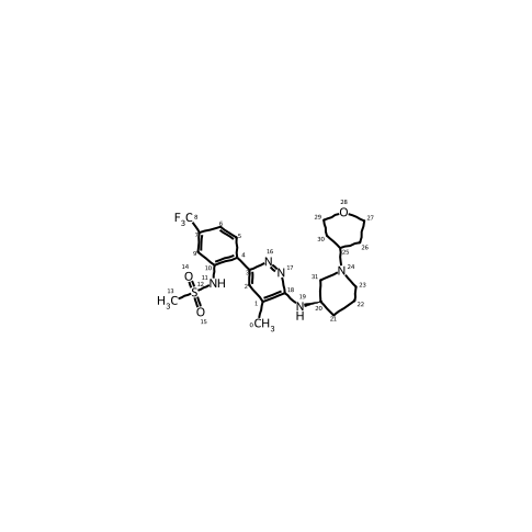 Cc1cc(-c2ccc(C(F)(F)F)cc2NS(C)(=O)=O)nnc1N[C@@H]1CCCN(C2CCOCC2)C1